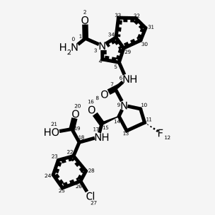 NC(=O)n1cc(NC(=O)N2C[C@H](F)C[C@H]2C(=O)NC(C(=O)O)c2cccc(Cl)c2)c2ccccc21